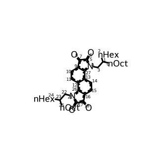 CCCCCCCCC(CCCCCC)Cn1c(=O)c(=O)c2ccc3c(ccc4c(=O)c(=O)n(CC(CCCCCC)CCCCCCCC)c43)c21